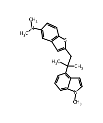 CN(C)c1ccc2sc(CC(C)(C)c3cccc4c3ccn4C)cc2c1